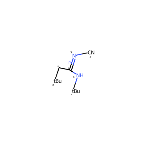 CC(C)(C)C/C(=N/C#N)NC(C)(C)C